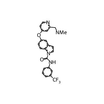 CNCc1cc(Oc2ccc3c(ccn3C(=O)Nc3cccc(C(F)(F)F)c3)c2)ccn1